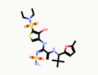 C=C(N[C@@H](c1ccc(C)o1)C(C)(C)C)/C(=N\S(N)(=O)=O)Nc1csc(S(=O)(=O)N(CC)CC)c1O